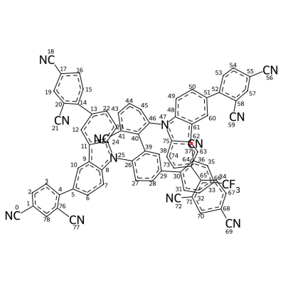 N#Cc1ccc(-c2ccc3c(c2)c2cc(-c4ccc(C#N)cc4C#N)ccc2n3-c2ccc(-c3ccc(C(F)(F)F)cc3C#N)cc2-c2c(C#N)cccc2-n2c3ccc(-c4ccc(C#N)cc4C#N)cc3c3cc(-c4ccc(C#N)cc4C#N)ccc32)c(C#N)c1